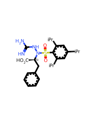 CC(C)c1cc(C(C)C)c(S(=O)(=O)N(NC(=N)N)[C@@H](Cc2ccccc2)C(=O)O)c(C(C)C)c1